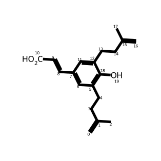 C=C(C)CCc1cc(C=CC(=O)O)cc(CCC(=C)C)c1O